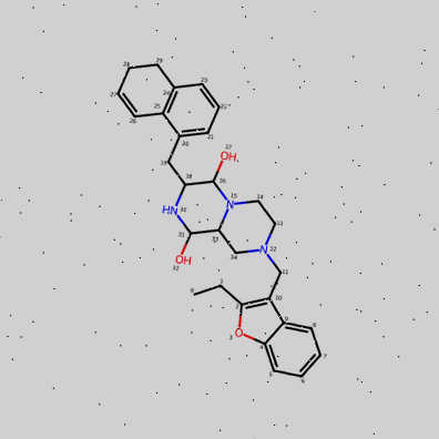 CCc1oc2ccccc2c1CN1CCN2C(O)C(Cc3cccc4c3C=CCC4)NC(O)C2C1